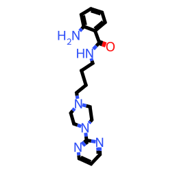 Nc1ccccc1C(=O)NCCCCN1CCN(c2ncccn2)CC1